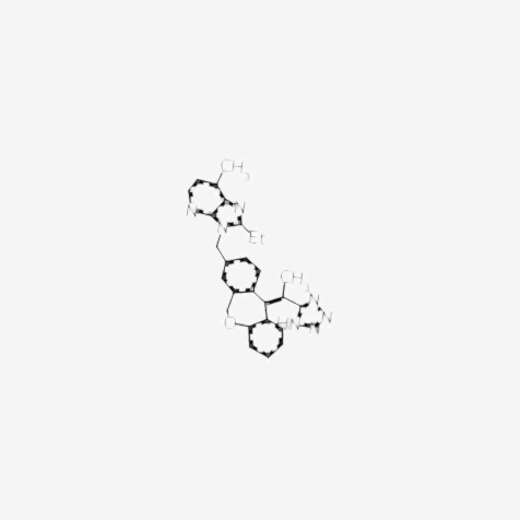 CCc1nc2c(C)ccnc2n1Cc1ccc2c(c1)COc1ccccc1/C2=C(/C)c1nnn[nH]1